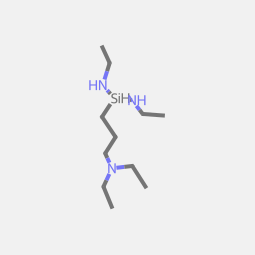 CCN[SiH](CCCN(CC)CC)NCC